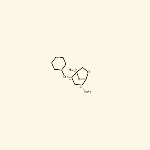 CO[C@@H]1C[C@H](OC2CCCCC2)[C@H]2COC1O2